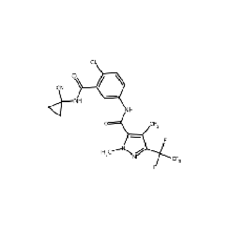 Cn1nc(C(F)(F)C(F)(F)F)c(C(F)(F)F)c1C(=O)Nc1ccc(Cl)c(C(=O)NC2(C#N)CC2)c1